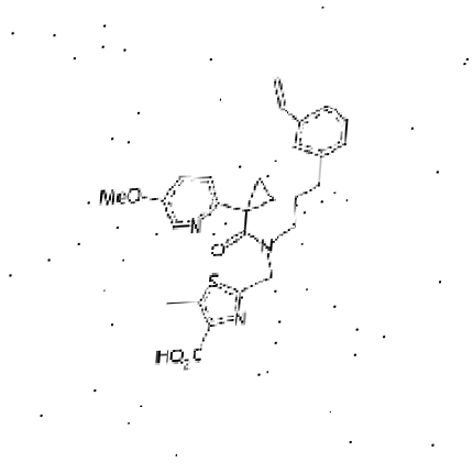 C=Cc1cccc(CCCN(Cc2nc(C(=O)O)c(C)s2)C(=O)C2(c3ccc(OC)cn3)CC2)c1